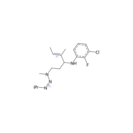 C/C=C(\C)C(CCN(C)/N=N\C(C)C)Nc1cccc(Cl)c1F